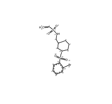 C=CS(=O)(=O)NCC1CCCN(S(=O)(=O)c2ccccc2Br)C1